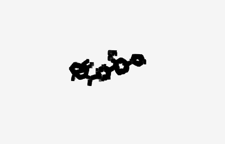 CN(c1ncc(-c2ccc(-n3ccnc3)cc2OO)nn1)[C@H]1C[C@]2(C)CC[C@@](C)(C2)[C@H]1F